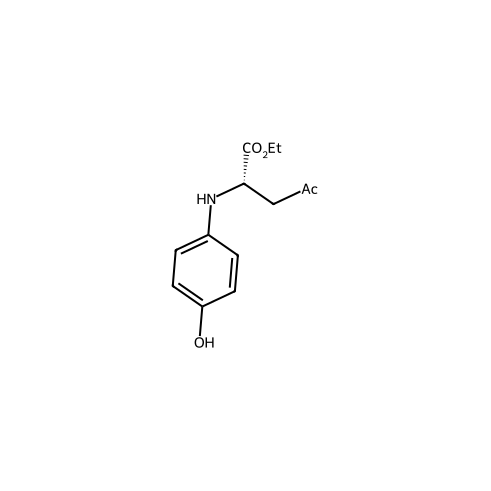 CCOC(=O)[C@H](CC(C)=O)Nc1ccc(O)cc1